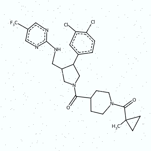 CC1(C(=O)N2CCC(C(=O)N3CC(CNc4ncc(C(F)(F)F)cn4)C(c4ccc(Cl)c(Cl)c4)C3)CC2)CC1